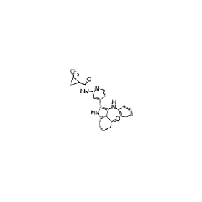 O=C1CCCc2[nH]c(-c3ccnc(NC(=O)C4CC4C(F)(F)F)c3)c(Nc3ccccc3)c21